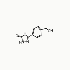 O=c1[nH]nc(-c2ccc(CO)cc2)o1